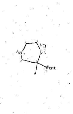 CCCCCC1(C)CNCCO1.Cl